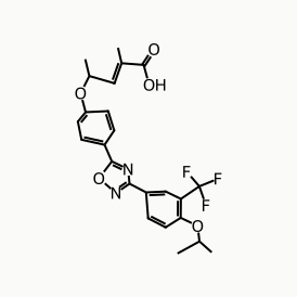 C/C(=C\C(C)Oc1ccc(-c2nc(-c3ccc(OC(C)C)c(C(F)(F)F)c3)no2)cc1)C(=O)O